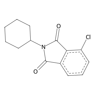 O=C1c2cccc(Cl)c2C(=O)N1C1CCCCC1